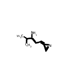 CC(C)/C(N)=C/C=C1C=N\1